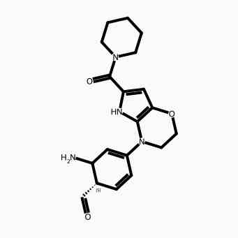 NC1C=C(N2CCOc3cc(C(=O)N4CCCCC4)[nH]c32)C=C[C@@H]1C=O